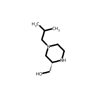 C[C](C)CN1CCN[C@H](CO)C1